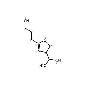 CCCCC1=NC(C(C)C)CO1